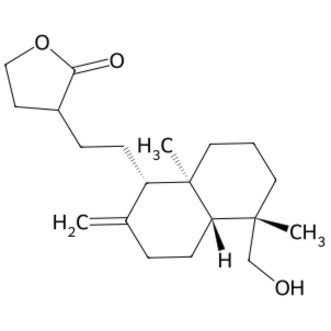 C=C1CC[C@H]2[C@@](C)(CO)CCC[C@]2(C)[C@H]1CCC1CCOC1=O